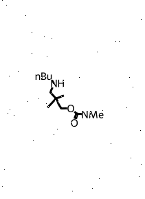 CCCCNCC(C)(C)COC(=O)NC